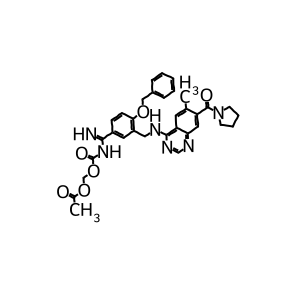 CC(=O)OCOC(=O)NC(=N)c1ccc(OCc2ccccc2)c(CNc2ncnc3cc(C(=O)N4CCCC4)c(C)cc23)c1